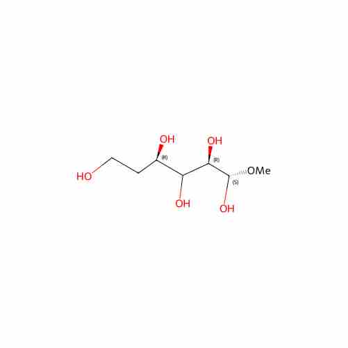 CO[C@H](O)[C@H](O)C(O)[C@H](O)CCO